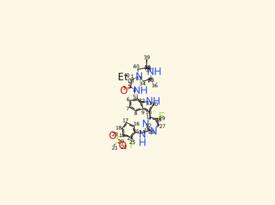 CC[C@@H](C(=O)Nc1cccc2c(-c3nc(Nc4cccc(S(C)(=O)=O)c4F)ncc3F)c[nH]c12)N1C[C@@H](C)N[C@H](C)C1